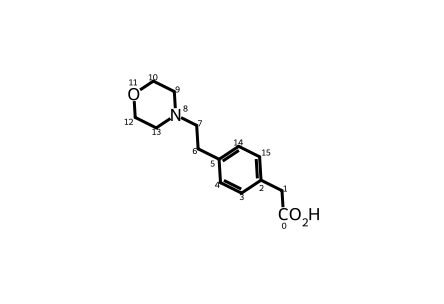 O=C(O)Cc1ccc(CCN2CCOCC2)cc1